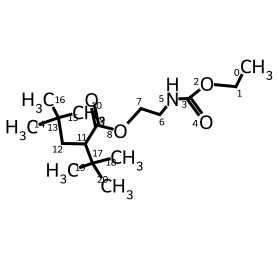 CCOC(=O)NCCOC(=O)C(CC(C)(C)C)C(C)(C)C